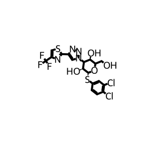 OCC1O[C@H](Sc2ccc(Cl)c(Cl)c2)[C@H](O)C(n2cc(-c3nc(C(F)(F)F)cs3)nn2)[C@H]1O